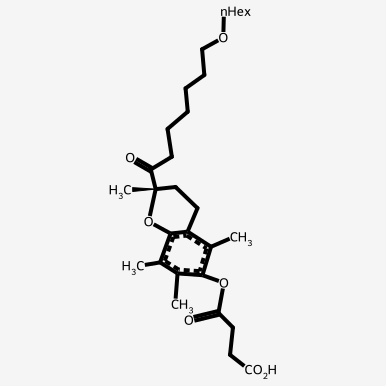 CCCCCCOCCCCCCC(=O)[C@]1(C)CCc2c(C)c(OC(=O)CCC(=O)O)c(C)c(C)c2O1